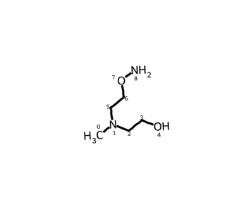 CN(CCO)CCON